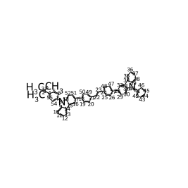 CC(C)(C)c1ccc(-n2c3ccccc3c3cc(-c4ccc(/C=C/c5ccc(-c6ccc7c(c6)c6ccccc6n7-c6ccccc6)cc5)cc4)ccc32)cc1